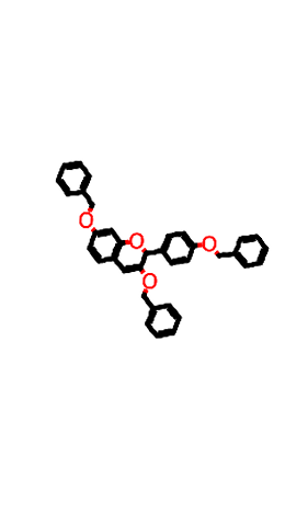 C1=C(OCc2ccccc2)C(c2ccc(OCc3ccccc3)cc2)Oc2cc(OCc3ccccc3)ccc21